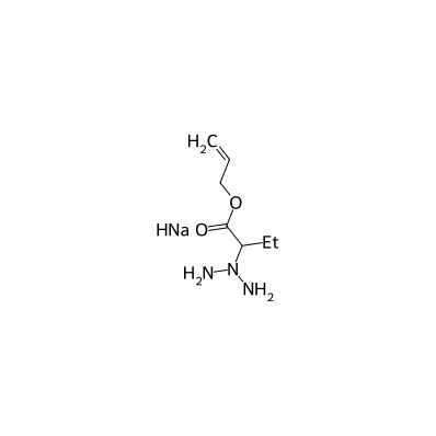 C=CCOC(=O)C(CC)N(N)N.[NaH]